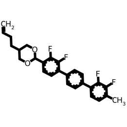 C=CCCC1COC(c2ccc(-c3ccc(-c4ccc(C)c(F)c4F)cc3)c(F)c2F)OC1